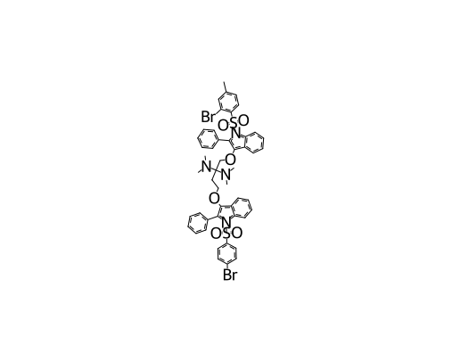 Cc1ccc(S(=O)(=O)n2c(-c3ccccc3)c(OCC(CCOc3c(-c4ccccc4)n(S(=O)(=O)c4ccc(Br)cc4)c4ccccc34)(N(C)C)N(C)C)c3ccccc32)c(Br)c1